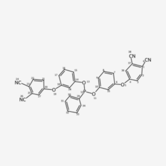 N#Cc1ccc(Oc2cccc(OP(Oc3cccc(Oc4ccc(C#N)c(C#N)c4)c3)c3ccccc3)c2)cc1C#N